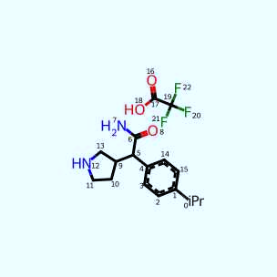 CC(C)c1ccc(C(C(N)=O)C2CCNC2)cc1.O=C(O)C(F)(F)F